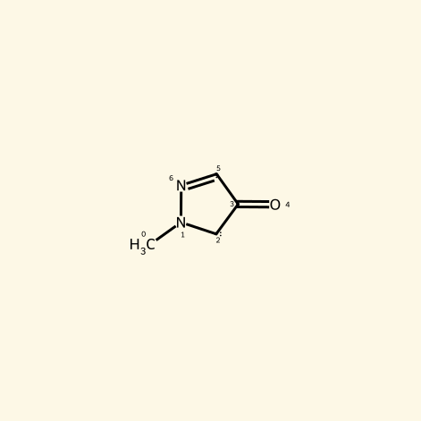 CN1[C]C(=O)[C]=N1